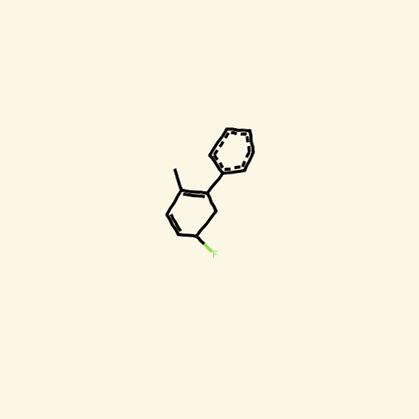 CC1=C(c2ccccc2)CC(F)C=C1